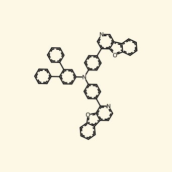 c1ccc(-c2ccc(N(c3ccc(-c4cncc5c4oc4ccccc45)cc3)c3ccc(-c4nccc5c4oc4ccccc45)cc3)cc2-c2ccccc2)cc1